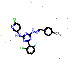 Fc1cccc(Cl)c1-c1nc(N/N=C/c2ccc(C(F)(F)F)cc2)nc(Nc2ccc(Cl)nc2)n1